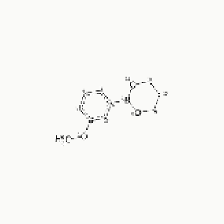 COc1cccc(B2OCCCO2)c1